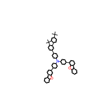 CC(C)(C)c1ccc2c(c1)C(C)(C)c1ccc(-c3ccc(N(c4ccc(-c5ccc6c(c5)oc5ccccc56)cc4)c4ccc(-c5cccc6c5oc5ccccc56)cc4)cc3)cc1-2